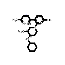 CO[C@H]1CN(c2nc(C)ccc2C(=N)/C=C\C(C)=N)CC[C@H]1NC1CCCCC1